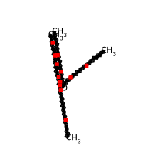 CCCCCCCCCCCCCCCCCCCCCCCCC(CCCCCCCCCCCCCCCCCCCCCCCC)C(=O)C(CCCCCCCCCCCCCCCCCCCCCCCC)CCCCCCCCCCCCCCCCCCCCCCCC